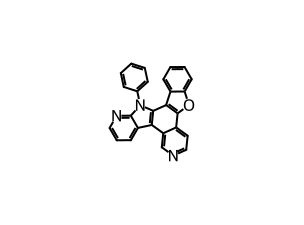 c1ccc(-n2c3ncccc3c3c4cnccc4c4oc5ccccc5c4c32)cc1